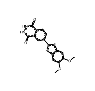 COc1cc2nc(-c3ccc4c(=O)[nH][nH]c(=O)c4c3)sc2cc1OC